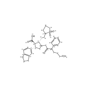 CCCCN(C(=O)CN1C[C@H](c2ccc3c(c2)CCO3)[C@@H](C(=O)O)[C@@H]1CCN1CCCS1(=O)=O)c1cccnc1